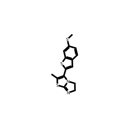 CSc1ccc2cc(C3=C(C)SC4=NCCN43)sc2c1